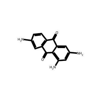 Nc1ccc2c(c1)C(=O)c1c(N)cc(N)cc1C2=O